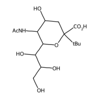 CC(=O)NC1C(O)CC(C(=O)O)(C(C)(C)C)OC1C(O)C(O)CO